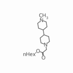 CCCCCCOC(=O)CN1CCC(C2CCN(C)CC2)CC1